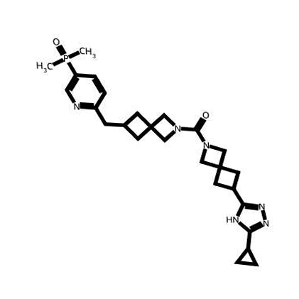 CP(C)(=O)c1ccc(CC2CC3(C2)CN(C(=O)N2CC4(CC(c5nnc(C6CC6)[nH]5)C4)C2)C3)nc1